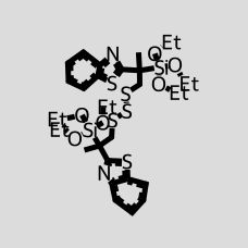 CCO[Si](OCC)(OCC)C(C)(CSSSCC(C)(c1nc2ccccc2s1)[Si](OCC)(OCC)OCC)c1nc2ccccc2s1